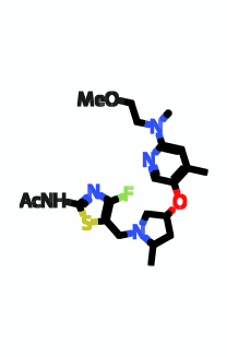 COCCN(C)c1cc(C)c(OC2CC(C)N(Cc3sc(NC(C)=O)nc3F)C2)cn1